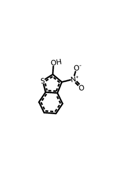 O=[N+]([O-])c1c(O)sc2ccccc12